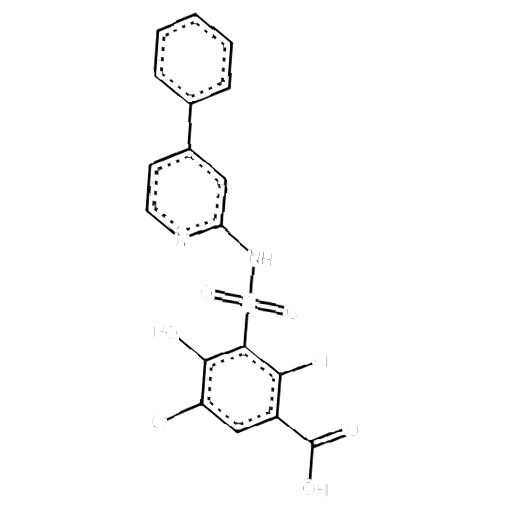 O=C(O)c1cc(Cl)c(O)c(S(=O)(=O)Nc2cc(-c3ccccc3)ccn2)c1Cl